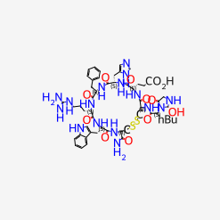 CCCC[C@@H](C(=O)N[C@H]1CSSC[C@@H](C(N)=O)NC(=O)[C@H](Cc2c[nH]c3ccccc23)NC(=O)[C@H](CCCNC(=N)N)NC(=O)[C@@H](Cc2ccccc2)NC(=O)[C@H](Cc2cnc[nH]2)NC(=O)[C@H](CCC(=O)O)NC1=O)N1C(=O)CNC1O